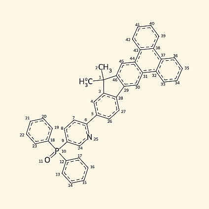 CC1(C)c2cc(-c3ccc(P(=O)(c4ccccc4)c4ccccc4)cn3)ccc2-c2cc3c4ccccc4c4ccccc4c3cc21